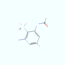 CC(=O)Nc1cc(O)cc(N)c1[As](=O)(O)O